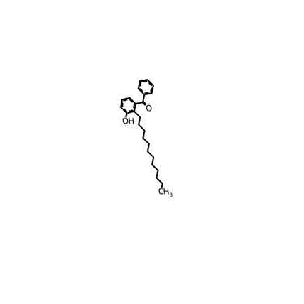 CCCCCCCCCCCCc1c(O)cccc1C(=O)c1ccccc1